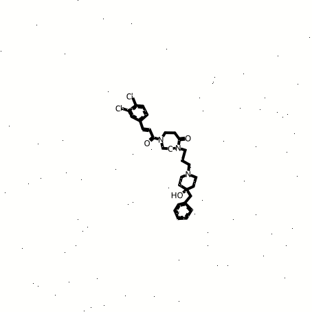 O=C(/C=C/c1ccc(Cl)c(Cl)c1)N1CCC(=O)N(CCCN2CCC(O)(Cc3ccccc3)CC2)CC1